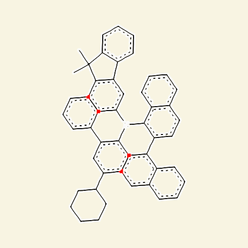 CC1(C)c2ccccc2-c2cc(N(c3ccc(C4CCCCC4)cc3-c3ccccc3)c3c(-c4cccc5ccccc45)ccc4ccccc34)ccc21